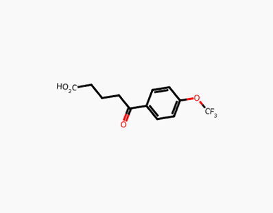 O=C(O)CCCC(=O)c1ccc(OC(F)(F)F)cc1